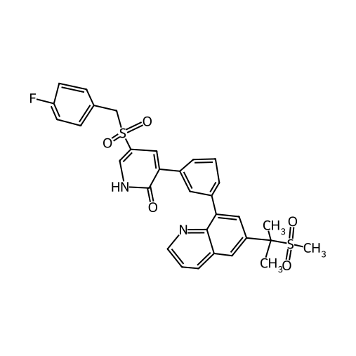 CC(C)(c1cc(-c2cccc(-c3cc(S(=O)(=O)Cc4ccc(F)cc4)c[nH]c3=O)c2)c2ncccc2c1)S(C)(=O)=O